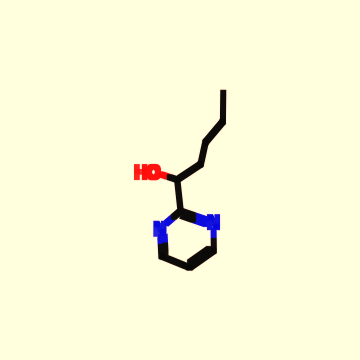 CCCCC(O)c1ncccn1